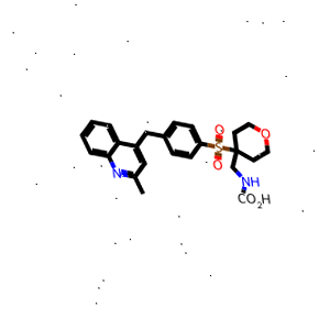 Cc1cc(Cc2ccc(S(=O)(=O)C3(CNC(=O)O)CCOCC3)cc2)c2ccccc2n1